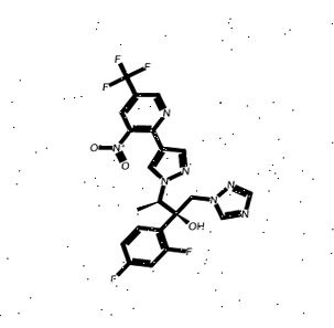 C[C@@H](n1cc(-c2ncc(C(F)(F)F)cc2[N+](=O)[O-])cn1)[C@](O)(Cn1cncn1)c1ccc(F)cc1F